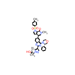 Cc1ccc(S(=O)(=O)n2ccc3c(-c4ccc5nc(-c6cnn(CC(C)(C)O)c6)nc(N6CCOC[C@@H]6c6ccccc6)c5c4)cn(C)c(=O)c32)cc1